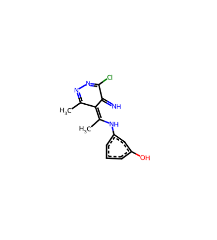 CC1=NN=C(Cl)C(=N)/C1=C(/C)Nc1cccc(O)c1